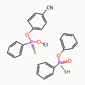 CCOP(=S)(Oc1ccc(C#N)cc1)c1ccccc1.O=P(S)(Oc1ccccc1)c1ccccc1